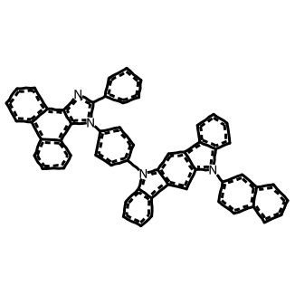 c1ccc(-c2nc3c4ccccc4c4ccccc4c3n2-c2ccc(-n3c4ccccc4c4cc5c(cc43)c3ccccc3n5-c3ccc4ccccc4c3)cc2)cc1